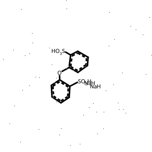 O=S(=O)(O)c1ccccc1Oc1ccccc1S(=O)(=O)O.[NaH].[NaH]